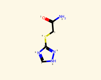 NC(=O)CSc1nc[nH]n1